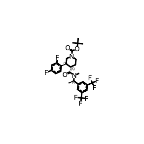 C[C@H](c1cc(C(F)(F)F)cc(C(F)(F)F)c1)N(C)C(=O)[C@H]1CCN(C(=O)OC(C)(C)C)C[C@@H]1c1ccc(F)cc1F